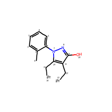 Cc1ccccc1-n1nc(O)c(CC(C)C)c1CC(C)C